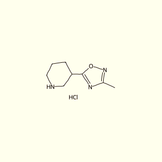 Cc1noc(C2CCCNC2)n1.Cl